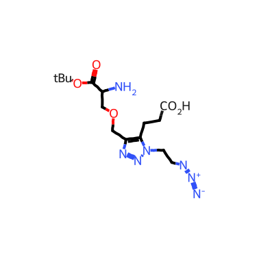 CC(C)(C)OC(=O)C(N)COCc1nnn(CCN=[N+]=[N-])c1CCC(=O)O